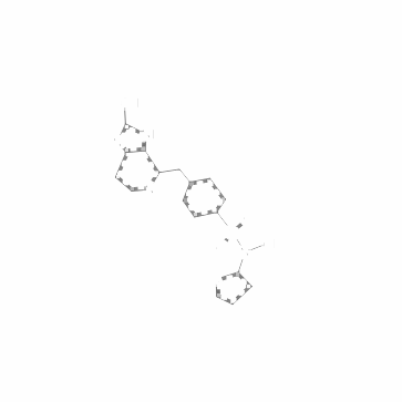 Cc1nc2ccnc(Cc3ccc(S(=O)(=O)N(C)c4cccs4)cc3)c2[nH]1